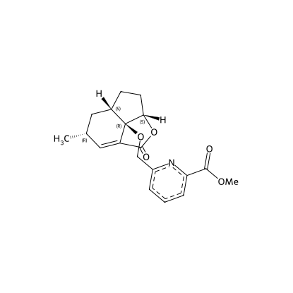 COC(=O)c1cccc(CO[C@@]23C4=C[C@H](C)C[C@@H]2CC[C@@H]3OC4=O)n1